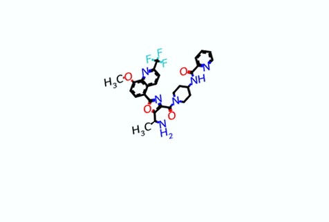 COc1ccc(-c2nc(C(=O)N3CCC(NC(=O)c4ccccn4)CC3)c([C@H](C)N)o2)c2ccc(C(F)(F)F)nc12